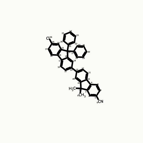 CC1(C)c2cc(C#N)ccc2-c2ccc(-c3ccc4c(c3)C(c3ccccc3)(c3ccccc3)c3cc(Cl)ccc3-4)cc21